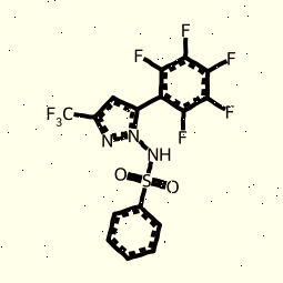 O=S(=O)(Nn1nc(C(F)(F)F)cc1-c1c(F)c(F)c(F)c(F)c1F)c1ccccc1